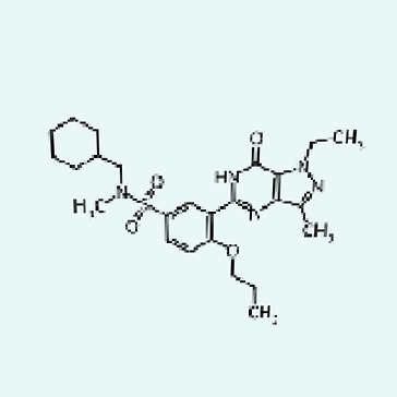 CCCOc1ccc(S(=O)(=O)N(C)CC2CCCCC2)cc1-c1nc2c(C)nn(CC)c2c(=O)[nH]1